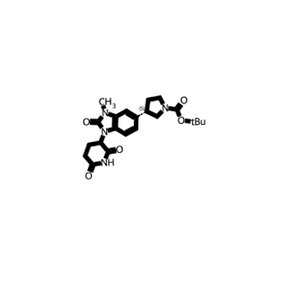 Cn1c(=O)n(C2CCC(=O)NC2=O)c2ccc([C@@H]3CCN(C(=O)OC(C)(C)C)C3)cc21